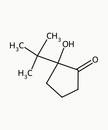 CC(C)(C)C1(O)CCCC1=O